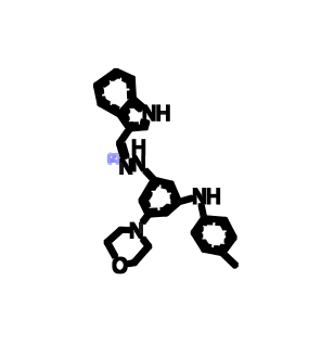 Cc1ccc(Nc2cc(N/N=C\c3c[nH]c4ccccc34)cc(N3CCOCC3)c2)cc1